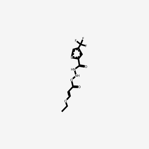 CCOC=CC(=O)ONNC(=O)c1cc(C(F)(F)F)cs1